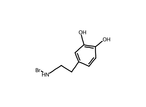 Oc1ccc(CCNBr)cc1O